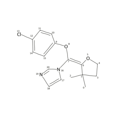 CC1(C)CCOC1=C(Oc1ccc(Cl)cc1)n1ccnc1